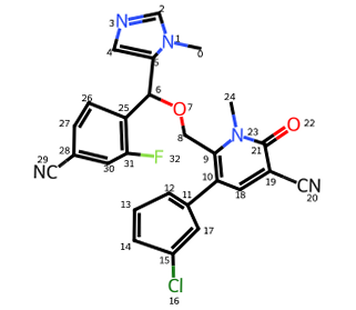 Cn1cncc1C(OCc1c(-c2cccc(Cl)c2)cc(C#N)c(=O)n1C)c1ccc(C#N)cc1F